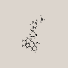 COc1ccccc1-c1n[nH]c2c1C=C(C1=CN=CC(CN3CCN(CCN(C)C)CC3)C1)CN2